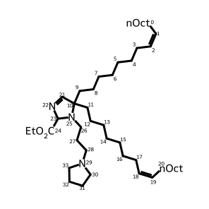 CCCCCCCC/C=C\CCCCCCCC1(CCCCCCC/C=C\CCCCCCCC)C=NC(C(=O)OCC)N1CCCN1CCCC1